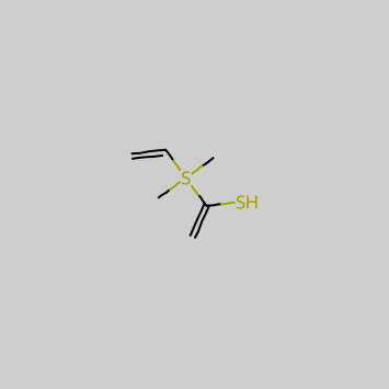 C=CS(C)(C)C(=C)S